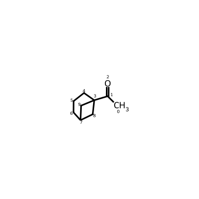 CC(=O)C12CCCC(C1)C2